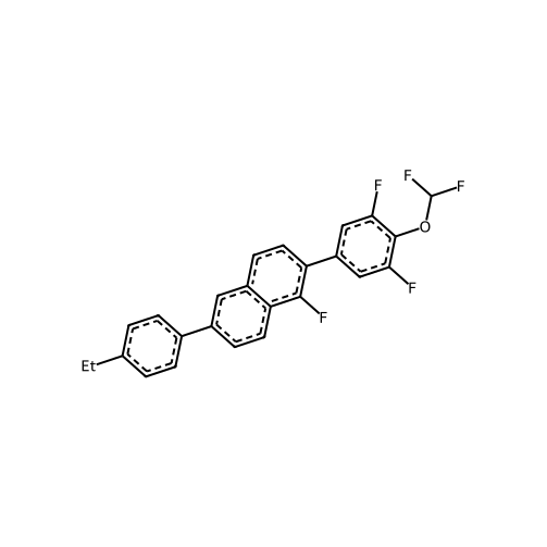 CCc1ccc(-c2ccc3c(F)c(-c4cc(F)c(OC(F)F)c(F)c4)ccc3c2)cc1